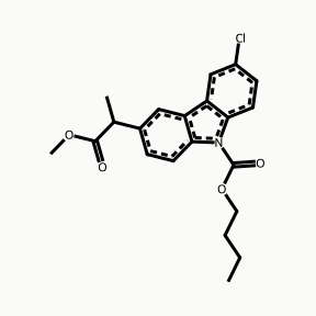 CCCCOC(=O)n1c2ccc(Cl)cc2c2cc(C(C)C(=O)OC)ccc21